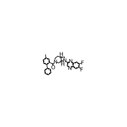 Cc1ccc(-c2ccccc2)c(C(=O)N2CC[C@H]3CN(c4cnc5cc(F)c(F)cc5n4)[C@H]3C2)c1